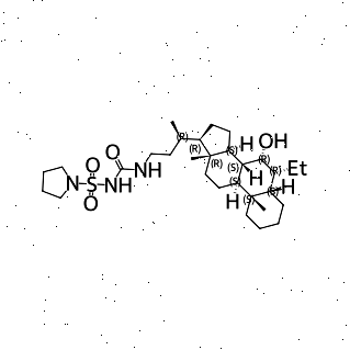 CC[C@H]1[C@@H](O)[C@@H]2[C@H](CC[C@]3(C)[C@@H]([C@H](C)CCNC(=O)NS(=O)(=O)N4CCCC4)CC[C@@H]23)[C@@]2(C)CCCC[C@@H]12